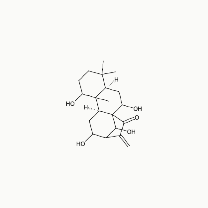 C=C1C(=O)C23C(O)C[C@@H]4C(C)(C)CCC(O)C4(C)[C@@H]2CC(O)C1C3O